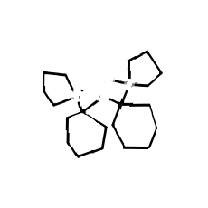 [O-][N+]1(C2(OC3([N+]4([O-])CCCC4)CCCCC3)CCCCC2)CCCC1